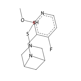 COc1nccc(F)c1CN1C2CC1CN(SS)C2